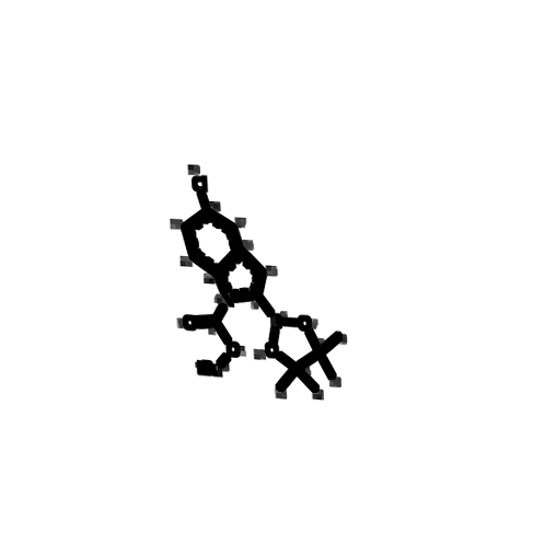 CC(C)(C)OC(=O)n1c(B2OC(C)(C)C(C)(C)O2)cc2cc(Cl)ccc21